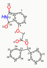 O=C(COc1cccc2c1C(=O)NC2=O)OC(c1ccccc1)c1ccccc1